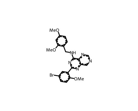 COc1ccc(CNc2nc(-c3cc(Br)ccc3OC)nc3cncnc23)c(OC)c1